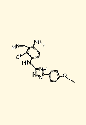 CCOc1ccc(-c2nnc(Nc3ccc(N)c(C=N)c3Cl)[nH]2)cc1